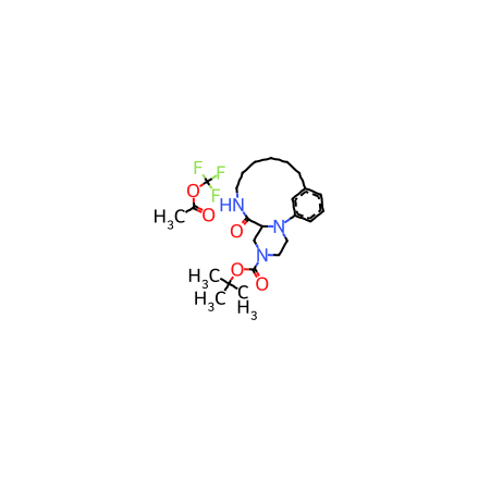 CC(=O)OC(F)(F)F.CC(C)(C)OC(=O)N1CCN2c3cccc(c3)CCCCCCNC(=O)C2C1